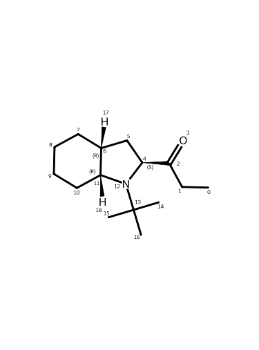 CCC(=O)[C@@H]1C[C@H]2CCCC[C@H]2N1C(C)(C)C